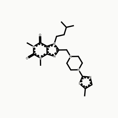 Cc1cnc(N2CCN(Cc3nc4c(c(=O)n(C)c(=O)n4C)n3CCC(C)C)CC2)s1